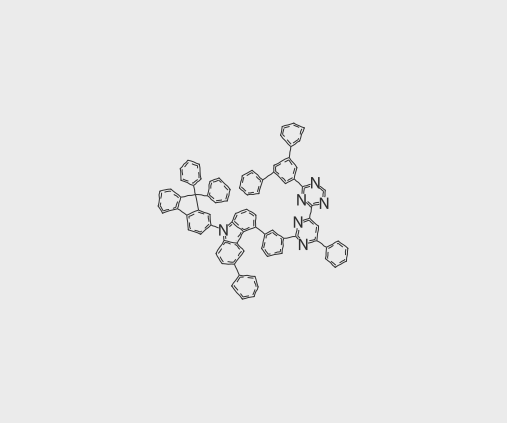 c1ccc(-c2cc(-c3ccccc3)cc(-c3ncnc(-c4cc(-c5ccccc5)nc(-c5cccc(-c6cccc7c6c6cc(-c8ccccc8)ccc6n7-c6ccc7c(c6)C(c6ccccc6)(c6ccccc6)c6ccccc6-7)c5)n4)n3)c2)cc1